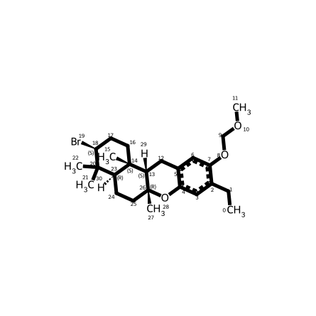 CCc1cc2c(cc1OCOC)C[C@H]1[C@@]3(C)CC[C@H](Br)C(C)(C)[C@@H]3CC[C@@]1(C)O2